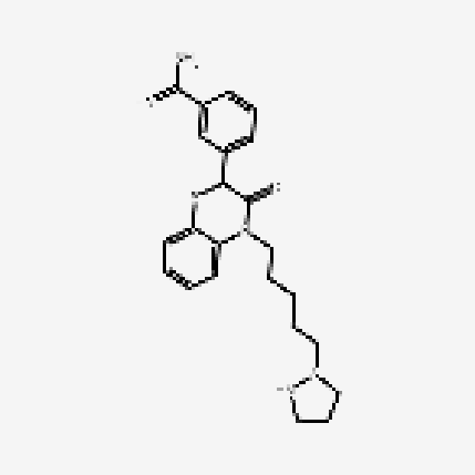 N=C(N)c1cccc(C2Sc3ccccc3N(CCCCCN3CCCN3)C2=O)c1